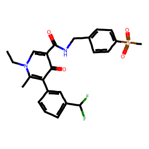 CCn1cc(C(=O)NCc2ccc(S(C)(=O)=O)cc2)c(=O)c(-c2cccc(C(F)F)c2)c1C